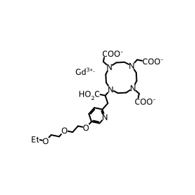 CCOCCOCCOc1ccc(CC(C(=O)O)N2CCN(CC(=O)[O-])CCN(CC(=O)[O-])CCN(CC(=O)[O-])CC2)nc1.[Gd+3]